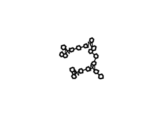 c1ccc(-c2ccc(N(c3ccc(-c4ccc(-n5c6ccccc6c6ccccc65)cc4)cc3)c3ccc(-c4cccc(-c5cccc6c(N(c7ccccc7)c7ccc(-c8ccc(-c9ccc(N(c%10ccccc%10)c%10cccc%11ccccc%10%11)cc9)cc8)cc7)cccc56)c4)cc3)cc2)cc1